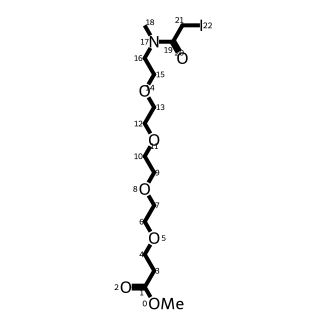 COC(=O)CCOCCOCCOCCOCCN(C)C(=O)CI